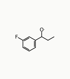 CCC([O])c1cccc(F)c1